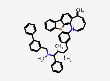 C=C1/C=C\C=C/N(c2cccc(C[C@H](C)[C@@H](C)C(c3ccccc3)N(C)Cc3cccc(-c4ccccc4)c3)c2)c2c1ccc1c2sc2ccccc21